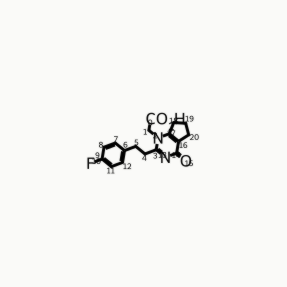 O=C(O)Cn1c(CCc2ccc(F)cc2)nc(=O)c2c1CCC2